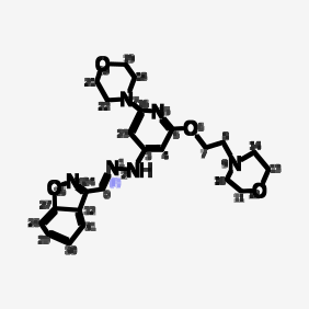 C(=N\Nc1cc(OCCN2CCOCC2)nc(N2CCOCC2)c1)/c1noc2ccccc12